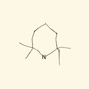 CC1(C)C[CH]CC(C)(C)[N]1